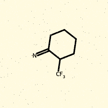 [N]=C1CCCCC1C(F)(F)F